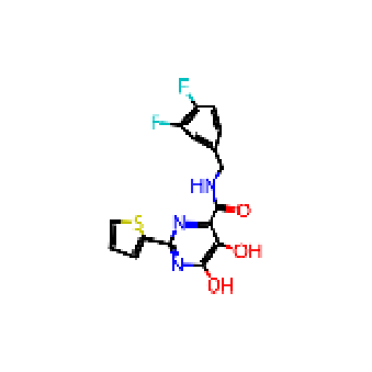 O=C(NCc1ccc(F)c(F)c1)c1nc(-c2cccs2)nc(O)c1O